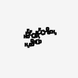 COC(=O)c1ccc(-c2nc3cc(C(O)C(F)(F)F)ccn3c2C[C@H]2CN(C(=O)OC)CCO2)c(F)c1